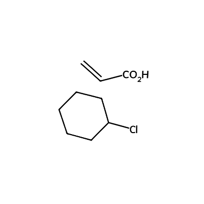 C=CC(=O)O.ClC1CCCCC1